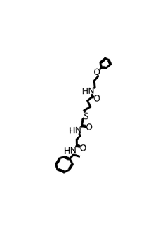 CC(NC(=O)CCNC(=O)CSCCCC(=O)NCCCOc1ccccc1)C1=C/C=C\C=C/C=C\1